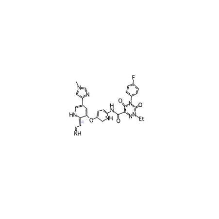 CCn1nc(C(=O)NC2=CC=C(OC3=CC(c4cn(C)cn4)=CN/C3=C\C=N)CN2)c(=O)n(-c2ccc(F)cc2)c1=O